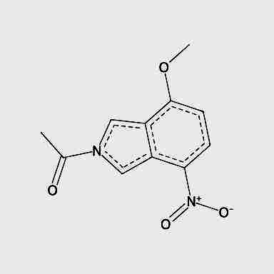 COc1ccc([N+](=O)[O-])c2cn(C(C)=O)cc12